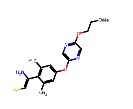 COCCOc1cnc(Oc2cc(C)c(/C(N)=C/S)c(C)c2)cn1